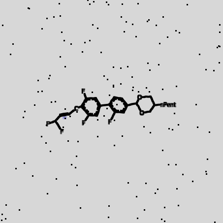 CCCCCC1COC(c2ccc(-c3cc(F)c(C/C=C/C(F)F)c(F)c3)c(F)c2)OC1